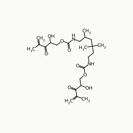 C=C(C)C(=O)C(O)COC(=O)NCCC(C)(C)CC(C)CNC(=O)OCC(O)C(=O)C(=C)C